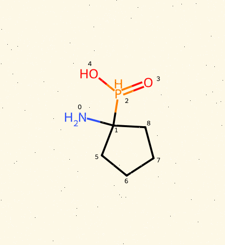 NC1([PH](=O)O)CCCC1